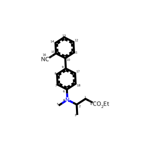 CCOC(=O)CC(C)N(C)c1ccc(-c2ccccc2C#N)cc1